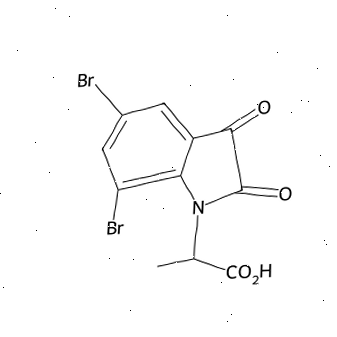 CC(C(=O)O)N1C(=O)C(=O)c2cc(Br)cc(Br)c21